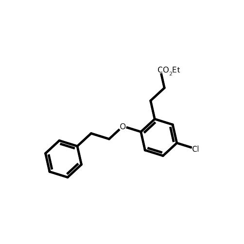 CCOC(=O)CCc1cc(Cl)ccc1OCCc1ccccc1